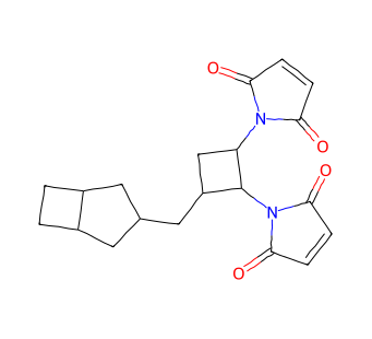 O=C1C=CC(=O)N1C1CC(CC2CC3CCC3C2)C1N1C(=O)C=CC1=O